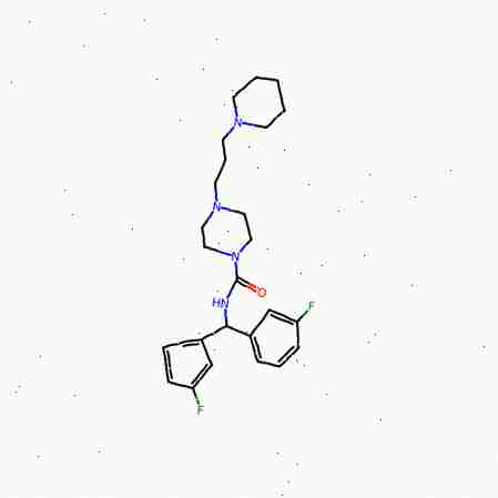 O=C(NC(c1cccc(F)c1)c1cccc(F)c1)N1CCN(CCCN2CCCCC2)CC1